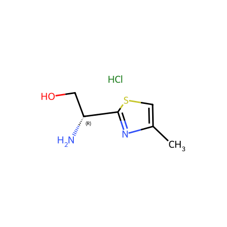 Cc1csc([C@H](N)CO)n1.Cl